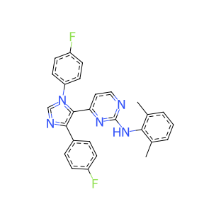 Cc1cccc(C)c1Nc1nccc(-c2c(-c3ccc(F)cc3)ncn2-c2ccc(F)cc2)n1